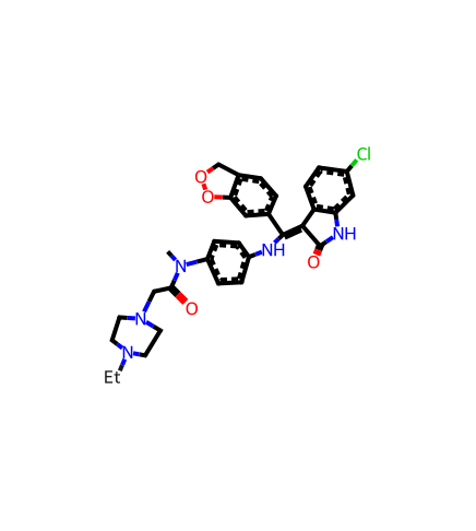 CCN1CCN(CC(=O)N(C)c2ccc(N/C(=C3\C(=O)Nc4cc(Cl)ccc43)c3ccc4c(c3)OOC4)cc2)CC1